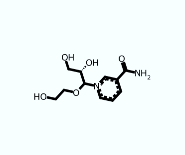 NC(=O)c1ccc[n+](C(OCCO)[C@@H](O)CO)c1